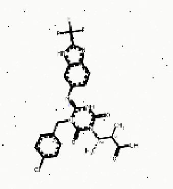 C[C@@H](C(=O)O)[C@H](C)n1c(=O)[nH]/c(=N\c2ccc3nc(C(F)(F)F)[nH]c3c2)n(Cc2ccc(Cl)cc2)c1=O